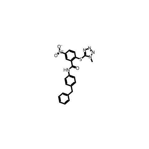 Cn1nnnc1Sc1ccc([N+](=O)[O-])cc1C(=O)Nc1ccc(Cc2ccccc2)cc1